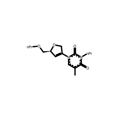 CCCOC[C@@H]1C=C(n2cc(C)c(=O)n(CCC)c2=O)CO1